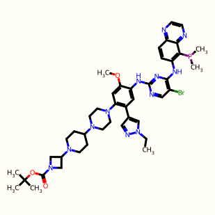 CCn1cc(-c2cc(Nc3ncc(Br)c(Nc4ccc5nccnc5c4P(C)C)n3)c(OC)cc2N2CCN(C3CCN(C4CN(C(=O)OC(C)(C)C)C4)CC3)CC2)cn1